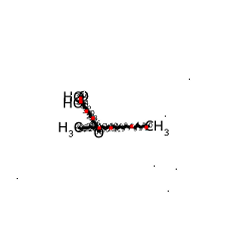 CCCCCCCCCCCCCCCCCC(=O)C(CCCCCC)CCCCCCCCCC(O)C(=O)O